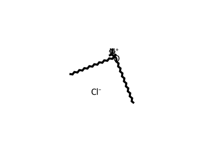 CCCCCCCCCCCCCCCCCCOC(C)(CCCCCCCCCCCCCCCCCC)C(C)[N+](C)(C)C.[Cl-]